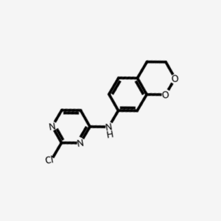 Clc1nccc(Nc2ccc3c(c2)OOCC3)n1